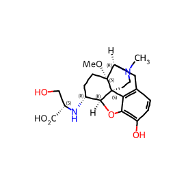 CO[C@@]12CC[C@@H](N[C@@H](CO)C(=O)O)[C@@H]3Oc4c(O)ccc5c4[C@@]31CCN(C)[C@@H]2C5